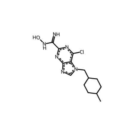 CC1CCC(Cn2cnc3nc(C(=N)NO)nc(Cl)c32)CC1